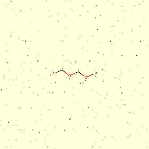 CCCOCOC[S]